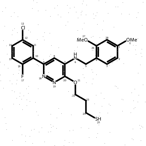 COc1ccc(CNc2cc(-c3cc(Cl)ccc3F)nnc2OCCCS)c(OC)c1